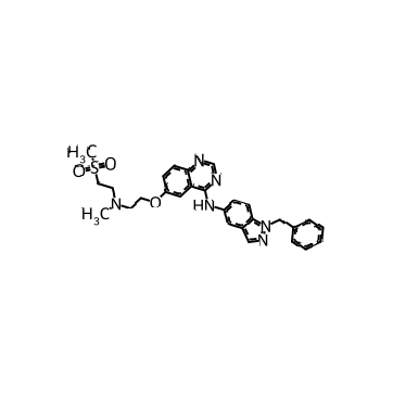 CN(CCOc1ccc2ncnc(Nc3ccc4c(cnn4Cc4ccccc4)c3)c2c1)CCS(C)(=O)=O